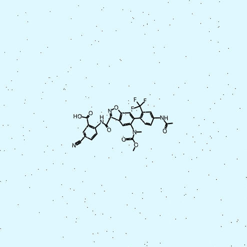 COC(=O)N(C)c1cc2c(C(=O)Nc3ccc(C#N)cc3C(=O)O)noc2cc1-c1ccc(NC(C)=O)cc1C(F)(F)F